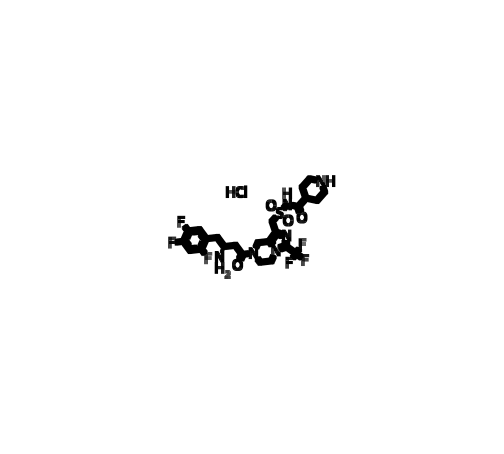 Cl.N[C@@H](CC(=O)N1CCn2c(C(F)(F)F)nc(CS(=O)(=O)NC(=O)C3CCNCC3)c2C1)Cc1cc(F)c(F)cc1F